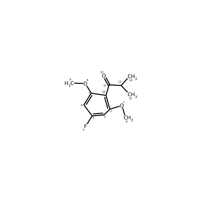 COc1cc(F)cc(OC)c1C(=O)C(C)C